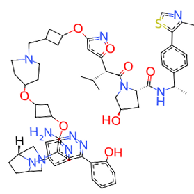 Cc1ncsc1-c1ccc([C@H](C)NC(=O)[C@@H]2C[C@@H](O)CN2C(=O)[C@@H](c2cc(OC3CC(CN4CCC(OC5CC(Oc6cc(N7C8CC[C@@H]7CN(c7cc(-c9ccccc9O)nnc7N)C8)ccn6)C5)CC4)C3)no2)C(C)C)cc1